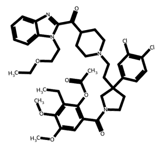 CCOCCn1c(C(=O)C2CCN(CCC3(c4ccc(Cl)c(Cl)c4)CCN(C(=O)c4cc(OC)c(OC)c(CC)c4OC(C)=O)C3)CC2)nc2ccccc21